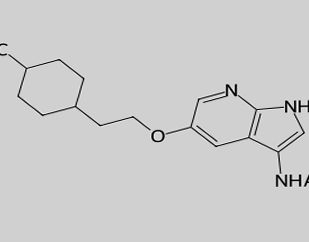 CC(=O)Nc1c[nH]c2ncc(OCCC3CCC(C(F)(F)F)CC3)cc12